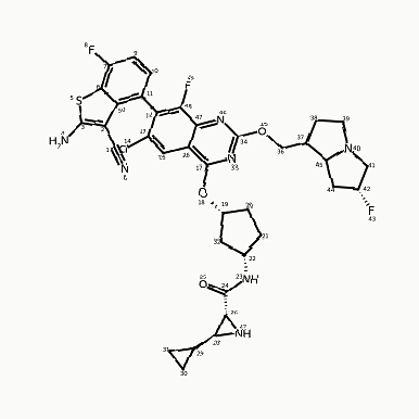 N#Cc1c(N)sc2c(F)ccc(-c3c(Cl)cc4c(O[C@@H]5CC[C@H](NC(=O)[C@@H]6N[C@H]6C6CC6)C5)nc(OCC5CCN6C[C@H](F)CC56)nc4c3F)c12